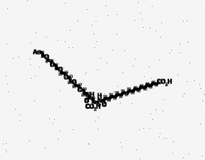 CC(=O)CCOCCOCCOCCOCCOCCOCCNC(=O)CC[C@H](NC(=O)CCCCCCCCCCCCCCCCCCC(=O)O)C(=O)O